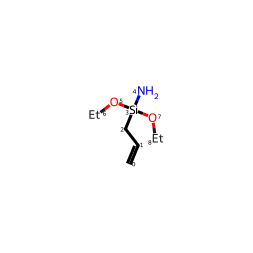 C=CC[Si](N)(OCC)OCC